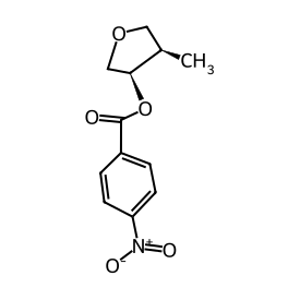 C[C@@H]1COC[C@@H]1OC(=O)c1ccc([N+](=O)[O-])cc1